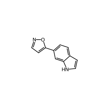 c1cc(-c2ccc3cc[nH]c3c2)on1